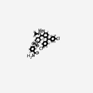 N=C1C=CC(C(c2ccc(Cl)cc2)c2ccc(Cl)cc2)=C/C1=C(/NC1CC1)C1CCN(S(=O)(=O)c2cccc(C(N)=O)c2)CC1